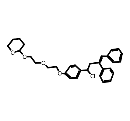 ClC(C/C(=C/c1ccccc1)c1ccccc1)c1ccc(OCCOCCOC2CCCCO2)cc1